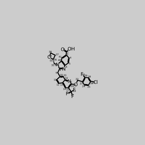 O=C(O)c1ccc2nc(Cc3ccc4cc(C(F)(F)F)c(OCc5ccc(Cl)cc5F)nc4c3)n(C[C@@H]3CCO3)c2c1